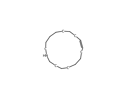 C1=CCCCCCCCNCCCCCCC1